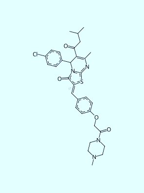 CC1=C(C(=O)CC(C)C)C(c2ccc(Cl)cc2)n2c(s/c(=C\c3ccc(OCC(=O)N4CCN(C)CC4)cc3)c2=O)=N1